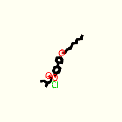 CCCCCCCCOc1ccc(-c2ccc(OC(=O)C(Cl)C(C)CC)cc2)cc1